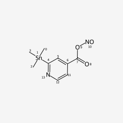 [CH3][Sn]([CH3])([CH3])[c]1cc(C(=O)ON=O)ccn1